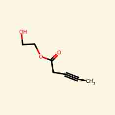 CC#CCC(=O)OCCO